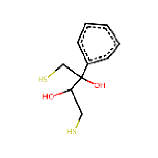 OC(CS)C(O)(CS)c1ccccc1